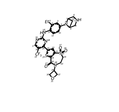 CCc1cc(N2C3CNCC2C3)ccc1Nc1ncc(C(F)(F)F)c(-c2cc3c(s2)C(=O)N(C2COC2)CCS3(=O)=O)n1